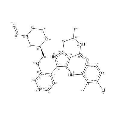 Cc1c(Cl)cccc1Nc1c(-c2ccncc2OC[C@H]2CN(C=O)CCO2)[nH]c2c1C(=O)NC(C)C2